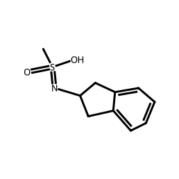 CS(=O)(O)=NC1Cc2ccccc2C1